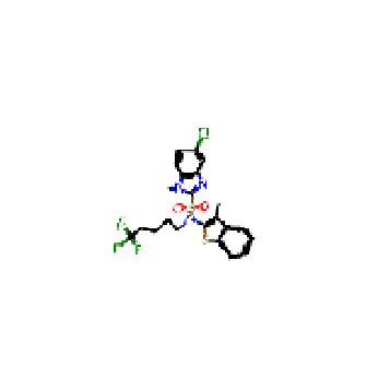 Cc1c(N(CCCCC(F)(F)F)S(=O)(=O)c2nc3cc(Cl)ccc3n2C)sc2ccccc12